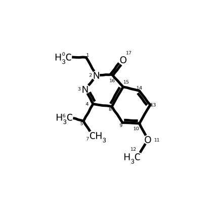 CCn1nc(C(C)C)c2cc(OC)ccc2c1=O